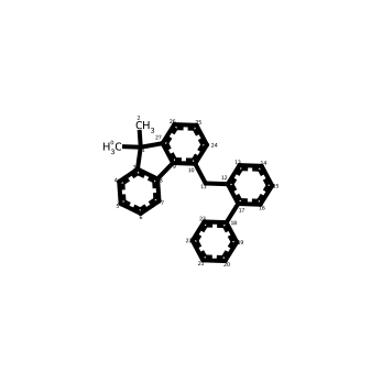 CC1(C)c2ccccc2-c2c(Cc3ccccc3-c3ccccc3)cccc21